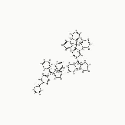 c1ccc(-c2ccc(N(c3ccccc3)c3ccccc3-c3ccc(-c4ccc5c6ccccc6n(-c6ccc7c(c6)-c6ccccc6C7(c6ccccc6)c6ccccc6)c5c4)cc3)cc2)cc1